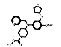 COc1ccc(N(Cc2cccnc2)C2CCN(C(=O)OC(C)(C)C)CC2)cc1O[C@@H]1CCOC1